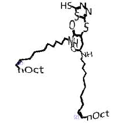 CCCCCCCC/C=C\CCCCCCCCNC(=O)CC(Sc1nnc(S)s1)C(=O)NCCCCCCCC/C=C\CCCCCCCC